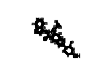 C[C@H]1C[C@@H](O)CC[C@@H]1n1cc2cc(C(=O)Nc3cnn4cnccc34)c(OC3CC3)cc2n1